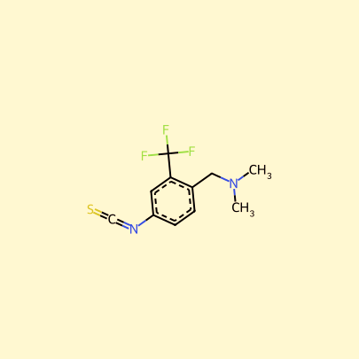 CN(C)Cc1ccc(N=C=S)cc1C(F)(F)F